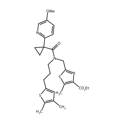 CCOC(=O)c1nc(CN(CCCc2cc(C)c(C)s2)C(=O)C2(c3ccc(OC)cn3)CC2)sc1C